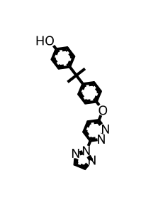 CC(C)(c1ccc(O)cc1)c1ccc(Oc2ccc(-n3nccn3)nn2)cc1